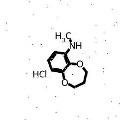 CNc1cccc2c1OCCCO2.Cl